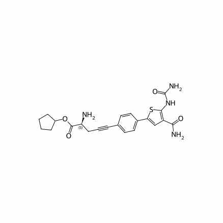 NC(=O)Nc1sc(-c2ccc(C#CC[C@H](N)C(=O)OC3CCCC3)cc2)cc1C(N)=O